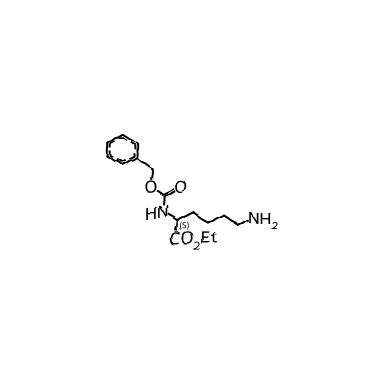 CCOC(=O)[C@H](CCCCN)NC(=O)OCc1ccccc1